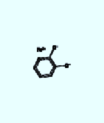 [Fe+2].[O-]c1ccccc1[O-]